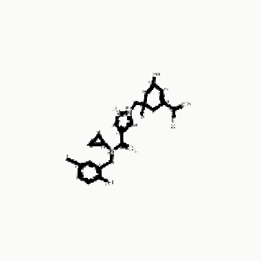 CCc1ccc(C)cc1CN(C(=O)c1cnn(CC2(C)C=C(F)C=C(C(F)F)C2)c1)C1CC1